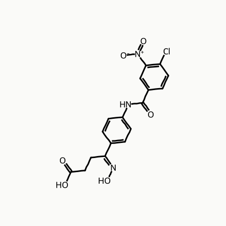 O=C(O)CCC(=NO)c1ccc(NC(=O)c2ccc(Cl)c([N+](=O)[O-])c2)cc1